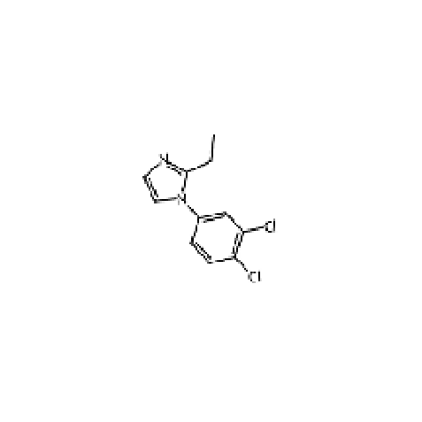 CCc1nccn1-c1ccc(Cl)c(Cl)c1